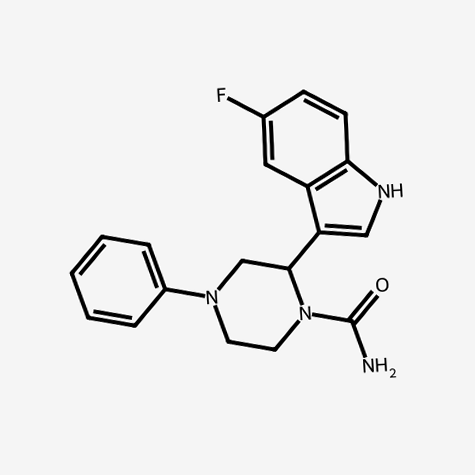 NC(=O)N1CCN(c2ccccc2)CC1c1c[nH]c2ccc(F)cc12